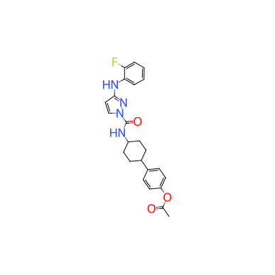 CC(=O)Oc1ccc(C2CCC(NC(=O)n3ccc(Nc4ccccc4F)n3)CC2)cc1